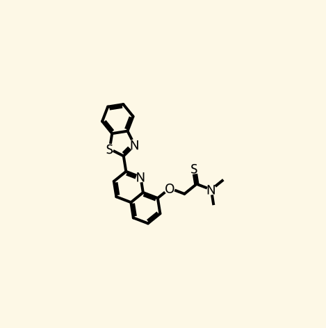 CN(C)C(=S)COc1cccc2ccc(-c3nc4ccccc4s3)nc12